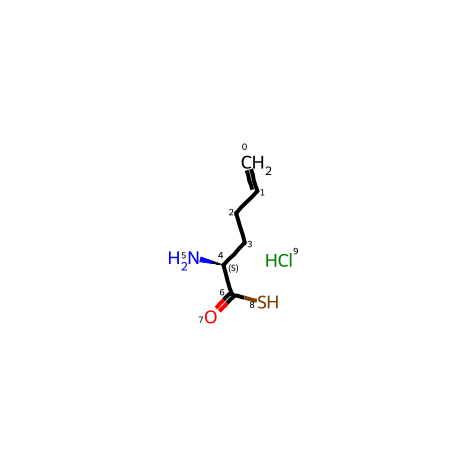 C=CCC[C@H](N)C(=O)S.Cl